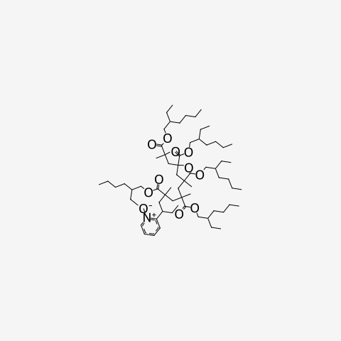 CCCCC(CC)COC(=O)C(C)(C)CC(C)(CC(C)(CC(C)(CC(C)(CC(CC)c1cccc[n+]1[O-])C(=O)OCC(CC)CCCC)C(=O)OCC(CC)CCCC)C(=O)OCC(CC)CCCC)C(=O)OCC(CC)CCCC